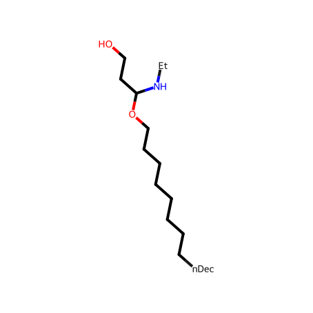 CCCCCCCCCCCCCCCCCCOC(CCO)NCC